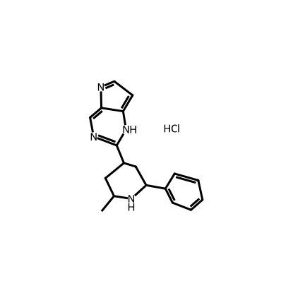 CC1CC(c2ncc3nccc-3[nH]2)CC(c2ccccc2)N1.Cl